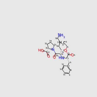 CCOC(=O)[C@H](Cc1ccccc1)N[C@@H](CCCCN)C(=O)N1CCC[C@H]1C(=O)O